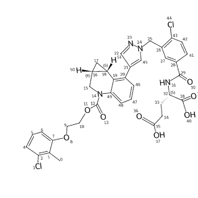 Cc1c(Cl)cccc1OCCOC(=O)N1C[C@@H]2C[C@@H]2c2c(-c3cnn(Cc4cc(C(=O)N[C@@H](CCC(=O)O)C(=O)O)ccc4Cl)c3)cccc21